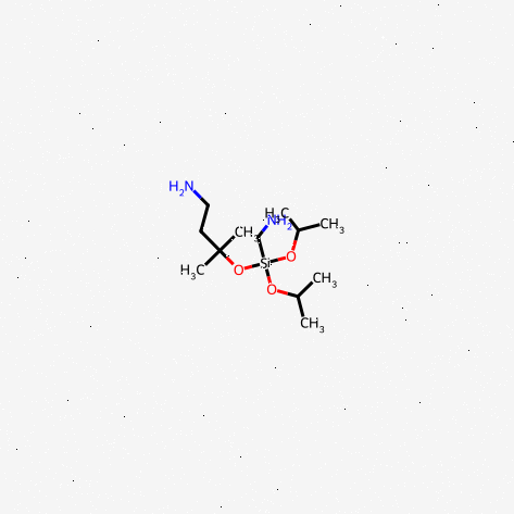 CC(C)O[Si](CN)(OC(C)C)OC(C)(C)CCN